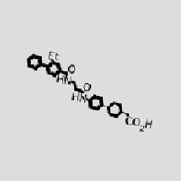 CCc1cc(C(=O)NCCC(=O)Nc2ccc([C@H]3CC[C@H](CC(=O)O)CC3)cc2)ccc1-c1ccccc1